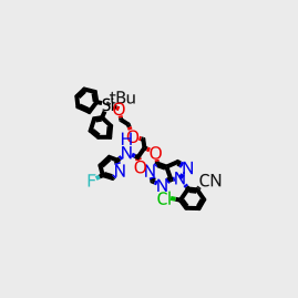 CC(C)(C)[Si](OCCOCC(Oc1ncnc2c1cnn2-c1c(Cl)cccc1C#N)C(=O)Nc1ccc(F)cn1)(c1ccccc1)c1ccccc1